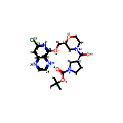 CC(C)(C)OC(=O)N1CC[C@H](C(=O)N2CCO[C@H](COc3nc(Cl)cc4nccnc34)C2)C1